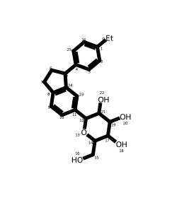 CCc1ccc(C2CCc3ccc(C4OC(CO)C(O)C(O)C4O)cc32)cc1